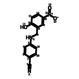 N#Cc1ccc(NCc2cc([N+](=O)[O-])ccc2O)cc1